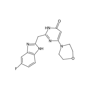 O=c1cc(N2CCOCC2)nc(Cc2nc3cc(F)ccc3[nH]2)[nH]1